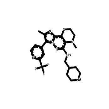 Cc1nc2c3c(c(NCC4CCNCC4)nn2c1-c1ccnc(C(F)(F)F)c1)N(C)CCO3